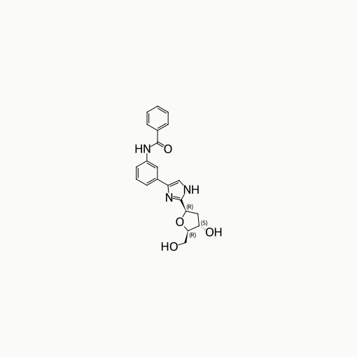 O=C(Nc1cccc(-c2c[nH]c([C@H]3C[C@H](O)[C@@H](CO)O3)n2)c1)c1ccccc1